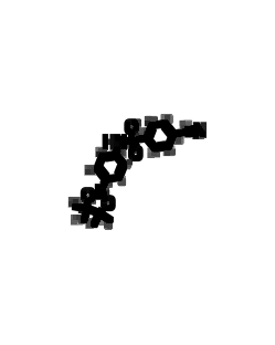 CC1(C)OB(c2ccc(NS(=O)(=O)c3ccc(C#N)cc3)cc2)OC1(C)C